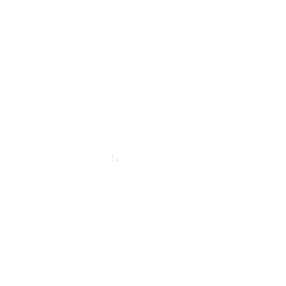 c1ccc(C2(c3ccccc3)c3ccccc3-c3ccc(N(c4ccc(-c5cccc(-c6cccc7c6oc6ccccc67)c5)cc4)c4cccc5c4-c4ccccc4C5(c4ccccc4)c4ccccc4)cc32)cc1